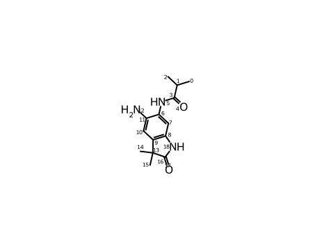 CC(C)C(=O)Nc1cc2c(cc1N)C(C)(C)C(=O)N2